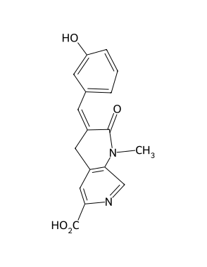 CN1C(=O)/C(=C\c2cccc(O)c2)Cc2cc(C(=O)O)ncc21